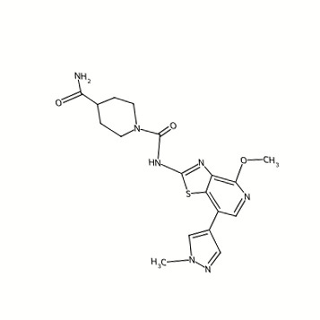 COc1ncc(-c2cnn(C)c2)c2sc(NC(=O)N3CCC(C(N)=O)CC3)nc12